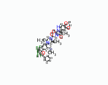 C/C=C\c1cc(C(OCc2ccccc2)(C(F)(F)F)C(F)(F)F)ccc1N1C[C@H](C)N(C(=O)CN2C(=O)N[C@](C)(c3ccc4c(c3)OCCO4)C2=O)CC1C